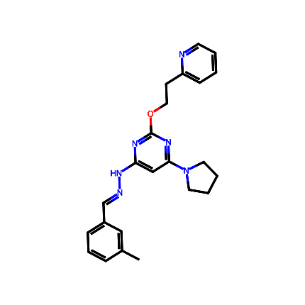 Cc1cccc(C=NNc2cc(N3CCCC3)nc(OCCc3ccccn3)n2)c1